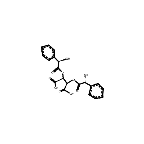 O=C(O)C(OC(=O)[C@H](O)c1ccccc1)C(OC(=O)[C@H](O)c1ccccc1)C(=O)O